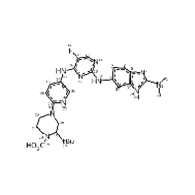 CN(C)c1nc2ccc(Nc3ncc(F)c(Nc4ccc(N5CCN(C(=O)O)C(C(C)(C)C)C5)nc4)n3)cc2[nH]1